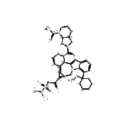 COC1(c2cccc3cc4n(c23)CC2=C(C(=O)NS(=O)(=O)N(C)C)C2=C2C=CC[C@@H](C(=O)N3CC5CCCN(C(C)=O)C5C3)C24)CCCCC1